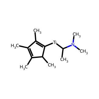 CC1=C(C)C(C)[C]([Ti][CH](C)N(C)C)=C1C